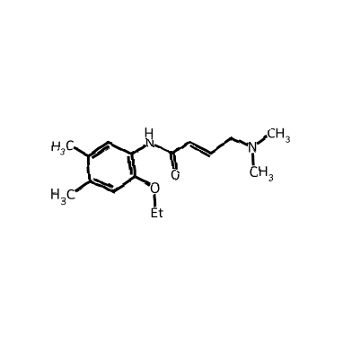 CCOc1cc(C)c(C)cc1NC(=O)/C=C/CN(C)C